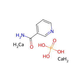 NC(=O)c1cccnc1.O=P(O)(O)O.[CaH2].[CaH2]